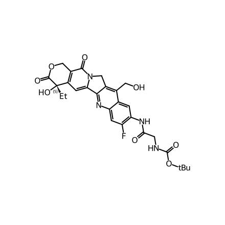 CC[C@@]1(O)C(=O)OCc2c1cc1n(c2=O)Cc2c-1nc1cc(F)c(NC(=O)CNC(=O)OC(C)(C)C)cc1c2CO